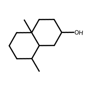 CC1CCCC2(C)CCC(O)CC12